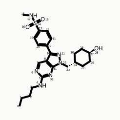 CCCCNc1ncc2c(-c3ccc(S(=O)(=O)NC)cc3)nn(C[C@H]3CC[C@H](O)CC3)c2n1